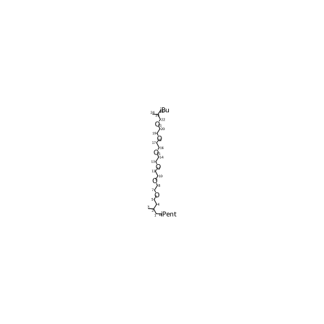 CCCC(C)CC(C)CCOCCOCCOCCOCCOCCOCC(C)C(C)CC